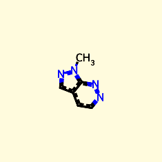 Cn1ncc2ccnnc21